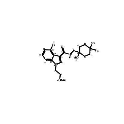 COCCn1cc(C(=O)NCC2(O)CCC(F)(F)CC2)c2c(Cl)ccnc21